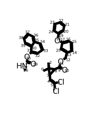 CC1(C)C(C=C(Cl)Cl)C1C(=O)OCc1cccc(Oc2ccccc2)c1.CNC(=O)Oc1cccc2ccccc12